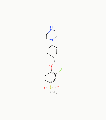 CS(=O)(=O)c1ccc(OCC2CCC(N3CCNCC3)CC2)c(F)c1